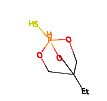 CCC12CO[PH](S)(OC1)OC2